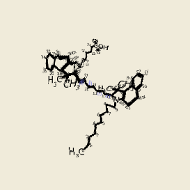 CCCCCCCCCCN1/C(=C/C=C/C=C/C=C/C2=[N+](CCCCS(=O)(=O)O)c3ccc4ccccc4c3C2(C)C)C(C)(C)c2c1ccc1ccccc21